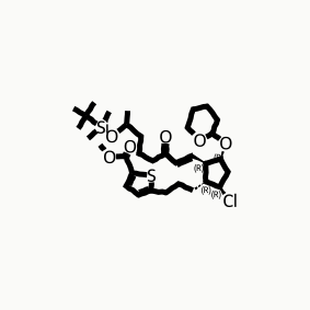 COC(=O)c1ccc(CCC[C@@H]2[C@@H](C=CC(=O)CCCC(C)O[Si](C)(C)C(C)(C)C)[C@H](OC3CCCCO3)C[C@H]2Cl)s1